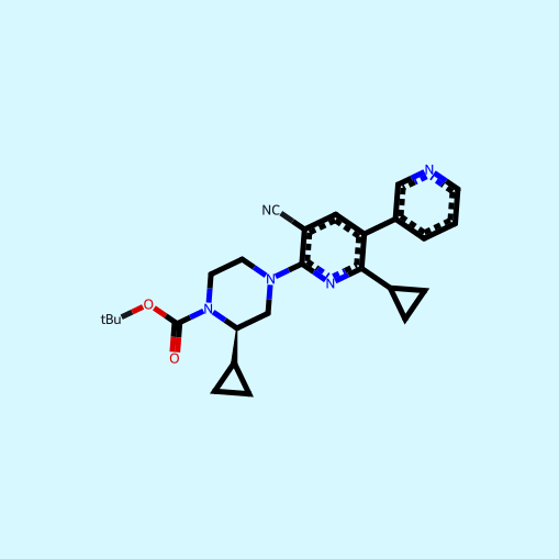 CC(C)(C)OC(=O)N1CCN(c2nc(C3CC3)c(-c3cccnc3)cc2C#N)C[C@H]1C1CC1